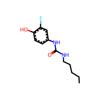 CCCCCNC(=O)Nc1ccc(O)c(F)c1